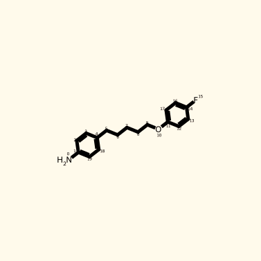 Nc1ccc(CCCCCOc2ccc(F)cc2)cc1